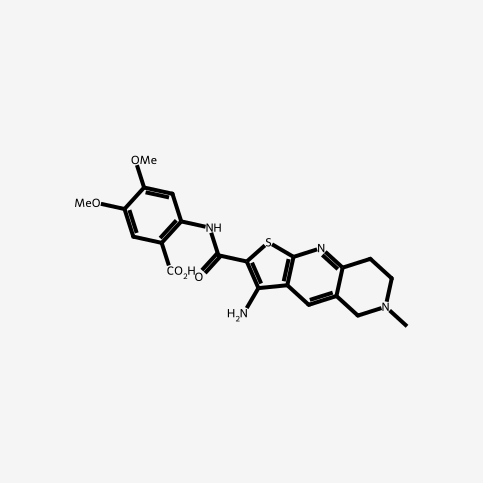 COc1cc(NC(=O)c2sc3nc4c(cc3c2N)CN(C)CC4)c(C(=O)O)cc1OC